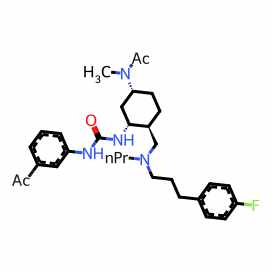 CCCN(CCCc1ccc(F)cc1)C[C@@H]1CC[C@@H](N(C)C(C)=O)C[C@H]1NC(=O)Nc1cccc(C(C)=O)c1